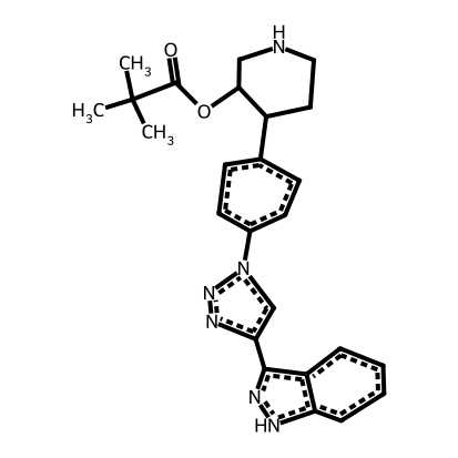 CC(C)(C)C(=O)OC1CNCCC1c1ccc(-n2cc(-c3n[nH]c4ccccc34)nn2)cc1